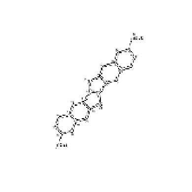 CCCCCCCCc1ccc2cc3c(cc2c1)sc1c2cc4ccc(CCCCCCCC)cc4cc2sc31